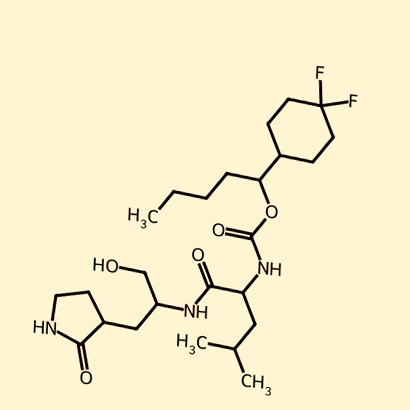 CCCCC(OC(=O)NC(CC(C)C)C(=O)NC(CO)CC1CCNC1=O)C1CCC(F)(F)CC1